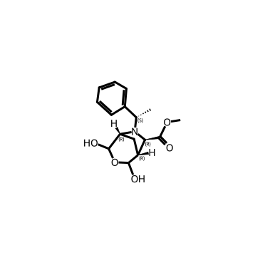 COC(=O)[C@H]1[C@H]2C[C@H](C(O)OC2O)N1[C@@H](C)c1ccccc1